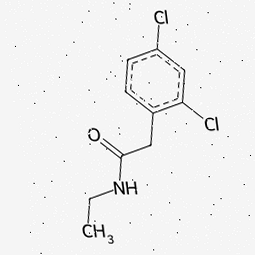 CCNC(=O)Cc1ccc(Cl)cc1Cl